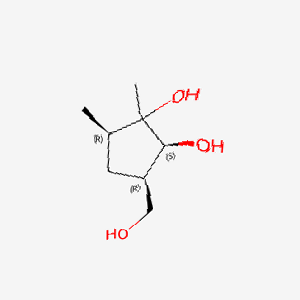 C[C@@H]1C[C@H](CO)[C@H](O)C1(C)O